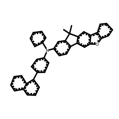 CC1(C)c2cc(N(c3ccccc3)c3ccc(-c4cccc5ccccc45)cc3)ccc2-c2cc3oc4ccccc4c3cc21